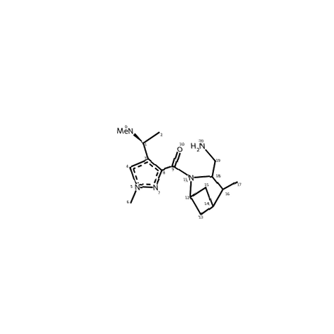 CN[C@@H](C)c1cn(C)nc1C(=O)N1C2CC(C2)C(C)C1CN